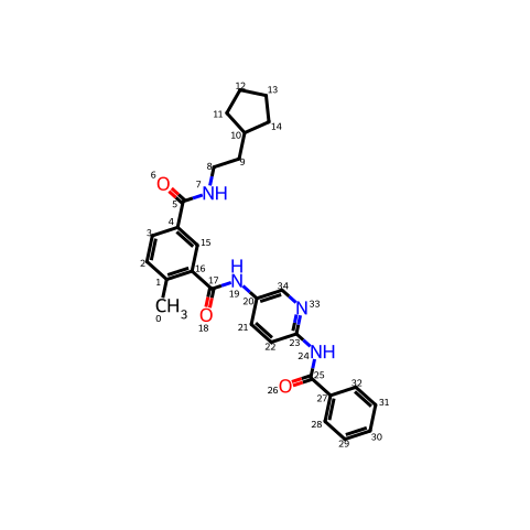 Cc1ccc(C(=O)NCCC2CCCC2)cc1C(=O)Nc1ccc(NC(=O)c2ccccc2)nc1